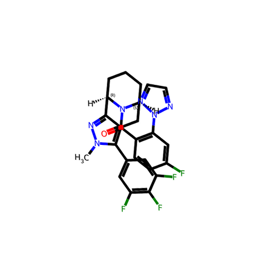 Cn1nc2c(c1-c1cc(F)c(F)c(F)c1)C[C@@H]1CCC[C@H]2N1C(=O)c1ccc(F)cc1-n1nccn1